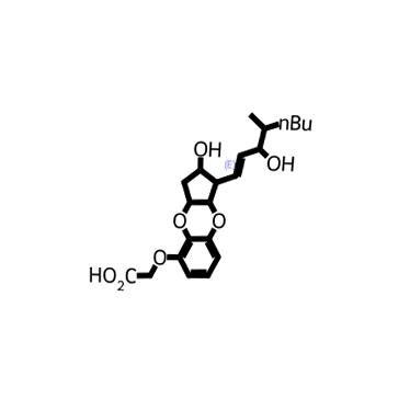 CCCCC(C)C(O)/C=C/C1C(O)CC2Oc3c(OCC(=O)O)cccc3OC21